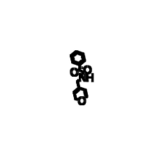 O=S(=O)(NCC1=CCOC=C1)c1ccccc1